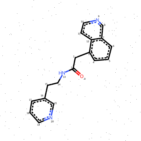 O=C(Cc1cccc2cnccc12)NCCc1cccnc1